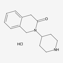 Cl.O=C1Cc2ccccc2CN1C1CCNCC1